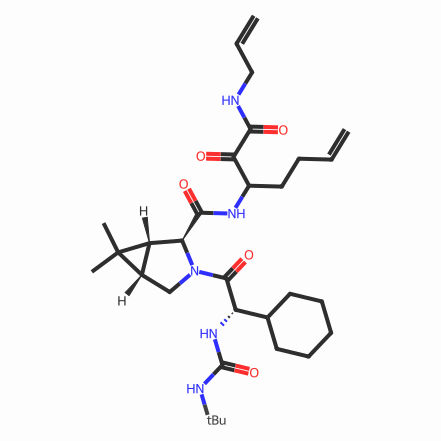 C=CCCC(NC(=O)[C@@H]1[C@@H]2[C@H](CN1C(=O)[C@@H](NC(=O)NC(C)(C)C)C1CCCCC1)C2(C)C)C(=O)C(=O)NCC=C